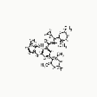 CC1CCN(C)C(C(NC(=O)c2cc(Cn3ccn(C)c3=N)cc(C3C(C)CC(F)CN3C)c2)C2CC2)C1